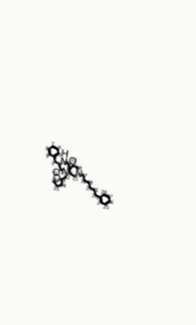 O=C1C(Cc2ccccc2)NC(=O)C2(CCN(CCCCCCc3ccccc3)CC2)N1CC1CCCO1